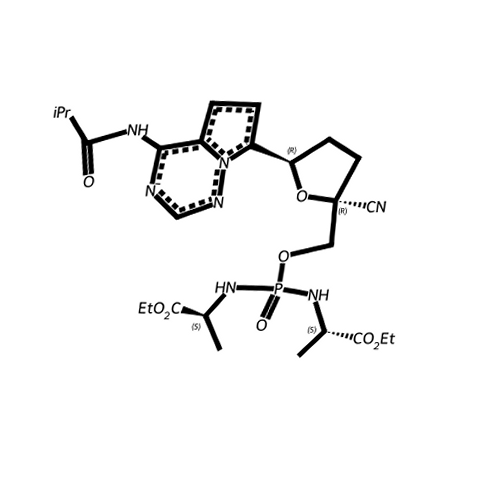 CCOC(=O)[C@H](C)NP(=O)(N[C@@H](C)C(=O)OCC)OC[C@]1(C#N)CC[C@H](c2ccc3c(NC(=O)C(C)C)ncnn23)O1